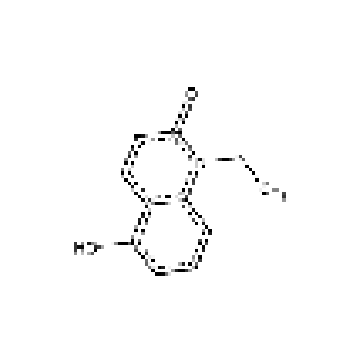 CCn1c(=O)ccc2c(O)cccc21